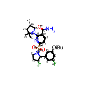 CC(C)COc1cc(F)cc(C2[C@@H](F)CCN2S(=O)(=O)c2ccc(C(N)=O)c(N3C[C@@H](C)CC3(C)C)n2)c1